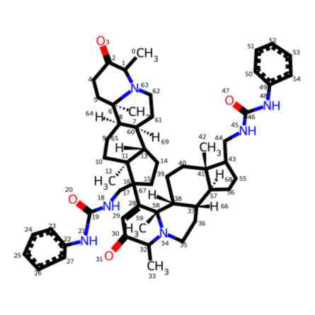 CC1C(=O)CC[C@]2(C)[C@@H]3CC[C@@]4(C)[C@@H](CCC4(CNC(=O)Nc4ccccc4)C4=CC(=O)C(C)N5CC[C@@H]6[C@@H](CC[C@]7(C)C(CNC(=O)Nc8ccccc8)CC[C@@H]67)[C@@]45C)[C@@H]3CCN12